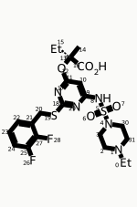 CCN1CCN(S(=O)(=O)Nc2cc(O[C@](C)(CC)C(=O)O)nc(SCc3cccc(F)c3F)n2)CC1